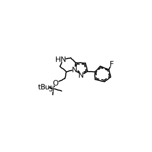 CC(C)(C)[Si](C)(C)OCC1CNCc2cc(-c3cccc(F)c3)nn21